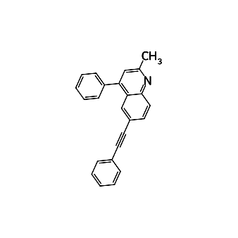 Cc1cc(-c2ccccc2)c2cc(C#Cc3ccccc3)ccc2n1